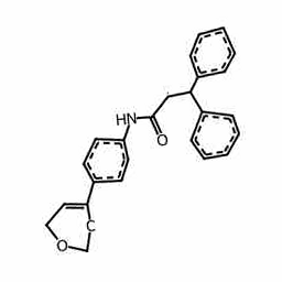 O=C([CH]C(c1ccccc1)c1ccccc1)Nc1ccc(C2=CCOCC2)cc1